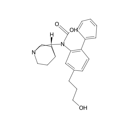 O=C(O)N(c1cc(CCCO)ccc1-c1ccccc1)[C@H]1CN2CCC1CC2